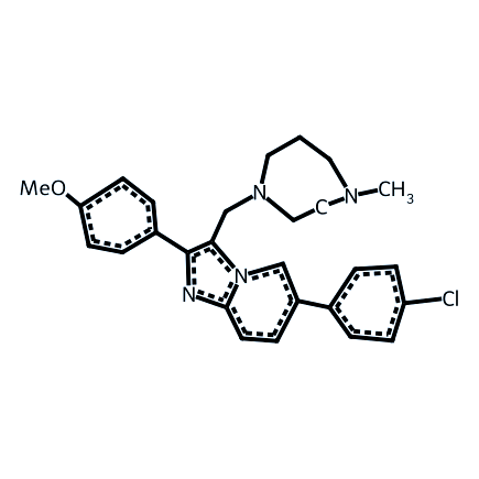 COc1ccc(-c2nc3ccc(-c4ccc(Cl)cc4)cn3c2CN2CCCN(C)CC2)cc1